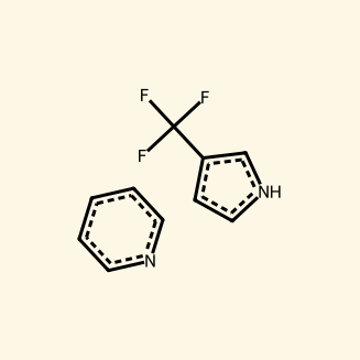 FC(F)(F)c1cc[nH]c1.c1ccncc1